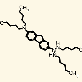 CCCCCNN(NCCCCC)c1ccc2c(c1)Cc1cc(N(CCCCC)CCCCC)ccc1-2